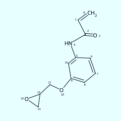 C=CC(=O)Nc1cccc(OCC2CO2)c1